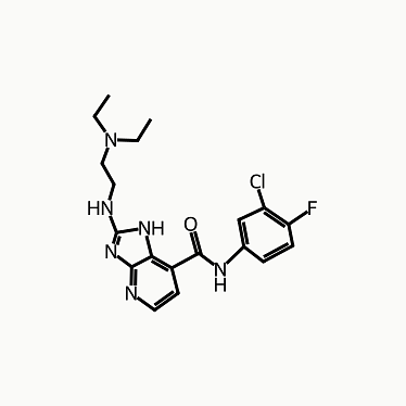 CCN(CC)CCNc1nc2nccc(C(=O)Nc3ccc(F)c(Cl)c3)c2[nH]1